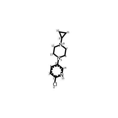 Clc1ccc(N2CCN(C3CC3)CC2)cn1